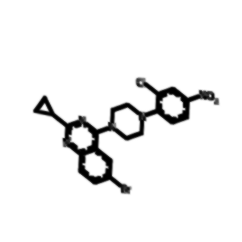 O=[N+]([O-])c1ccc(N2CCN(c3nc(C4CC4)nc4ccc(Br)cc34)CC2)c(Cl)c1